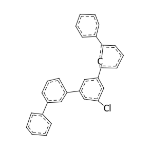 Clc1cc(-c2cccc(-c3ccccc3)c2)cc(-c2cccc(-c3ccccc3)c2)c1